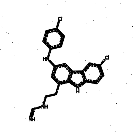 N=CNCCc1cc(Nc2ccc(Cl)cc2)cc2c1[nH]c1ccc(Cl)cc12